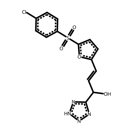 O=S(=O)(c1ccc(Cl)cc1)c1ccc(C=CC(O)c2nn[nH]n2)o1